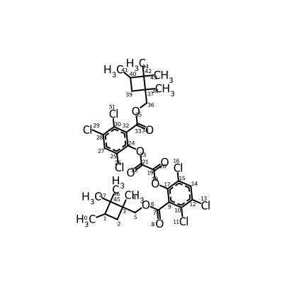 CC1CC(C)(COC(=O)c2c(Cl)c(Cl)cc(Cl)c2OC(=O)C(=O)Oc2c(Cl)cc(Cl)c(Cl)c2C(=O)OCC2(C)CC(C)C2(C)C)C1(C)C